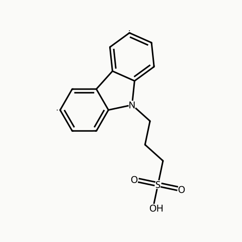 O=S(=O)(O)CCCn1c2cc[c]cc2c2c[c]ccc21